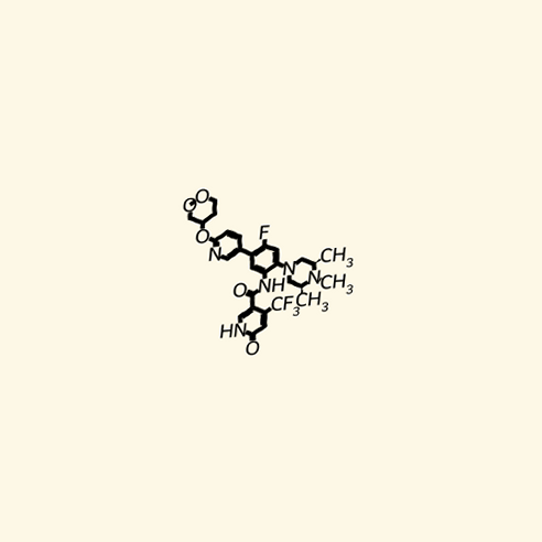 C[C@@H]1CN(c2cc(F)c(-c3ccc(OC4CCOOC4)nc3)cc2NC(=O)c2c[nH]c(=O)cc2C(F)(F)F)C[C@H](C)N1C